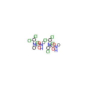 O=C(NC1CCCC1)C(=O)c1c(Cl)n(Cc2ccc(Cl)cc2Cl)c2ccc(Cl)cc12.O=C(NC1CCCC1)C(=O)c1c(Cl)n(Cc2ccc(Cl)cc2Cl)c2ccccc12